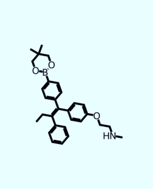 CCC(=C(c1ccc(OCCNC)cc1)c1ccc(B2OCC(C)(C)CO2)cc1)c1ccccc1